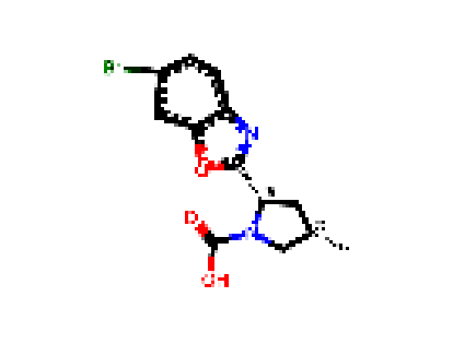 C[C@H]1C[C@@H](c2nc3ccc(Br)cc3o2)N(C(=O)O)C1